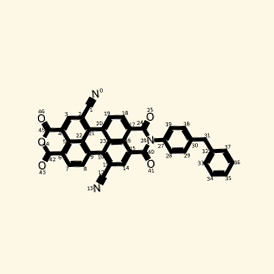 N#Cc1cc2c3c(ccc4c5c(C#N)cc6c7c(ccc(c1c34)c75)C(=O)N(c1ccc(Cc3ccccc3)cc1)C6=O)C(=O)OC2=O